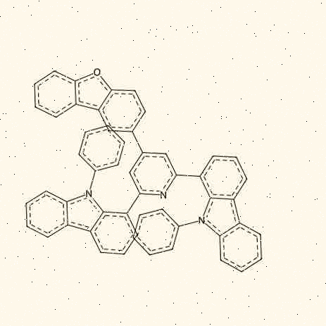 c1ccc(-n2c3ccccc3c3cccc(-c4cc(-c5ccc6oc7ccccc7c6c5)cc(-c5cccc6c7ccccc7n(-c7ccccc7)c56)n4)c32)cc1